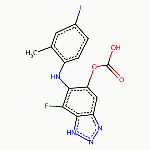 Cc1cc(I)ccc1Nc1c(OC(=O)O)cc2nn[nH]c2c1F